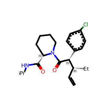 C=C[C@@H](CC)[C@H](C(=O)N1CCCC[C@H]1C(=O)NC(C)C)c1ccc(Cl)cc1